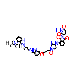 CN(C)c1ccccc1CNCCCNCc1ccc(OCCCC(=O)N2CCC(Nc3cccc4c3C(=O)N(C3CCC(=O)NC3=O)C4=O)CC2)cc1